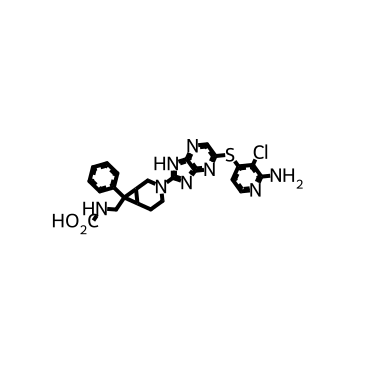 Nc1nccc(Sc2cnc3[nH]c(N4CCC5C(C4)C5(CNC(=O)O)c4ccccc4)nc3n2)c1Cl